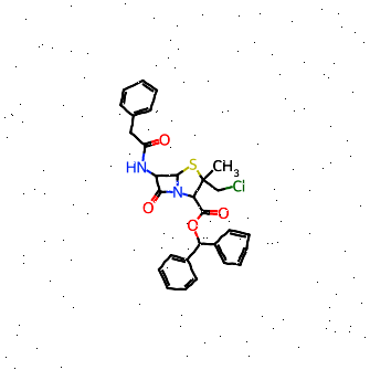 CC1(CCl)SC2C(NC(=O)Cc3ccccc3)C(=O)N2C1C(=O)OC(c1ccccc1)c1ccccc1